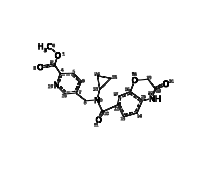 COC(=O)c1ccc(CN(C(=O)c2ccc3c(c2)OCC(=O)N3)C2CC2)cn1